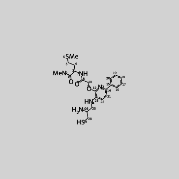 CNC(=O)C(CCSC)NC(=O)COc1nc(-c2ccccc2)ccc1NCC(N)CS